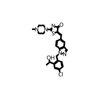 CC(O)c1cc(Cl)ccc1Cn1ncc2cc(/C=C3\SC(N4CCN(C)CC4)=NC3=O)ccc21